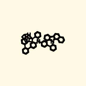 c1ccc(-c2ccccc2-c2ccc(N(c3ccc(-c4ccccc4-n4c5ccccc5c5ccc6ccccc6c54)cc3)c3ccccc3[C@]34CC5C[C@@H]6CC(C3)[C@H]6C54)cc2)cc1